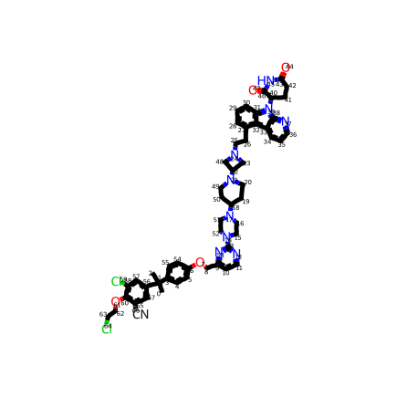 CC(C)(c1ccc(OCc2ccnc(N3CCN(C4CCN(C5CN(CCc6cccc7c6c6cccnc6n7C6CCC(=O)NC6=O)C5)CC4)CC3)n2)cc1)c1cc(Cl)c(OCCCl)c(C#N)c1